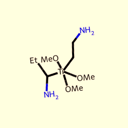 CC[CH](N)[Ti]([CH2]CN)([O]C)([O]C)[O]C